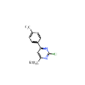 CCOC(=O)c1cc(-c2ccc(C(F)(F)F)cc2)nc(Cl)n1